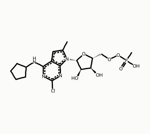 Cc1cc2c(NC3CCCC3)nc(Cl)nc2n1[C@@H]1O[C@H](COOP(C)(=O)O)[C@@H](O)[C@H]1O